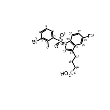 Cc1c(Br)cccc1S(=O)(=O)n1cc(CCCC(=O)O)c2cc(F)ccc21